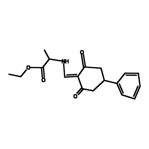 CCOC(=O)C(C)NC=C1C(=O)CC(c2ccccc2)CC1=O